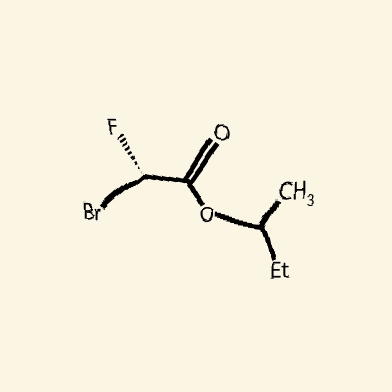 CCC(C)OC(=O)[C@@H](F)Br